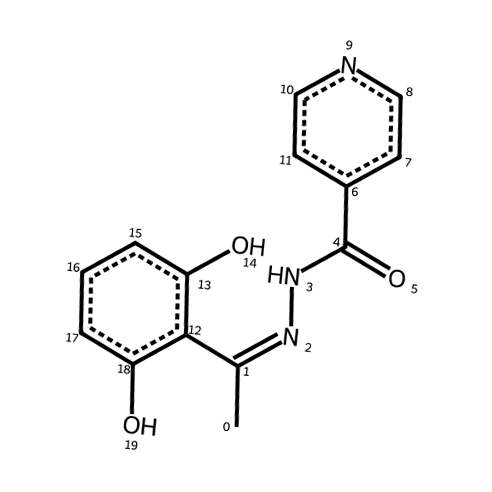 CC(=NNC(=O)c1ccncc1)c1c(O)cccc1O